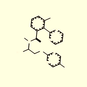 CCN(C(=O)c1cccc(F)c1-c1ncccn1)C(C)COc1ncc(C(F)(F)F)cn1